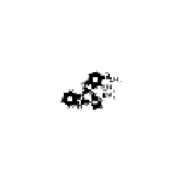 COc1ccc2nc3n4c5ccccc5nc4n4cc[n+](C)c4n3c2c1C